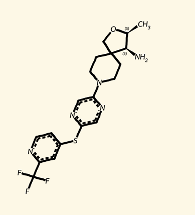 C[C@@H]1OCC2(CCN(c3cnc(Sc4ccnc(C(F)(F)F)c4)cn3)CC2)[C@@H]1N